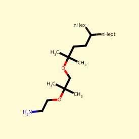 CCCCCCCC(CCCCCC)CCC(C)(C)OCC(C)(C)OCCN